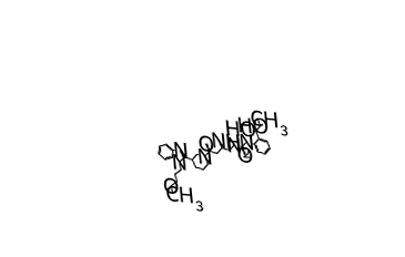 COCCCn1c(C2CCCN(C(=O)CC(N)CNC(=O)Nc3ccccc3C(=O)OC)C2)nc2ccccc21